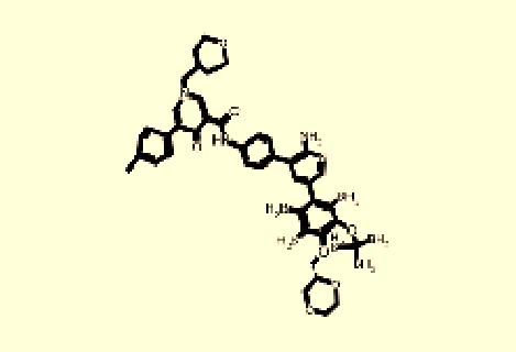 Bc1c(B)c(-c2cnc(N)c(-c3ccc(NC(=O)c4cn(CC5CCOCC5)cc(-c5ccc(C)cc5)c4=O)cc3)c2)c(B)c(OC(B)(B)B)c1OC[C@H]1COCCO1